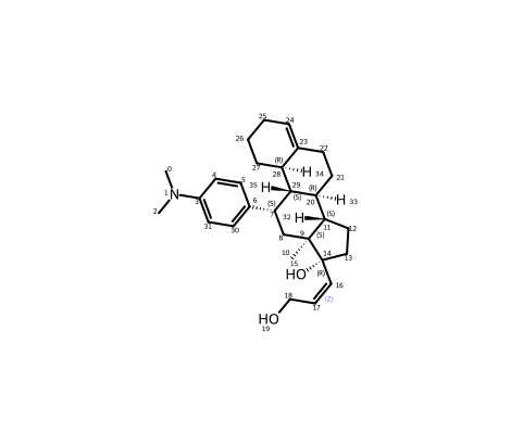 CN(C)c1ccc([C@H]2C[C@@]3(C)[C@@H](CC[C@@]3(O)/C=C\CO)[C@@H]3CCC4=CCCC[C@@H]4[C@H]32)cc1